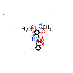 CC(=O)Nc1c(I)c(NC(C)=O)c(I)c(C(=O)N[C@@H](Cc2ccccc2)C(=O)O)c1I